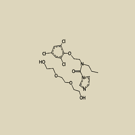 CCCN(CCOc1c(Cl)cc(Cl)cc1Cl)C(=O)n1ccnc1.OCCOCCOCCO